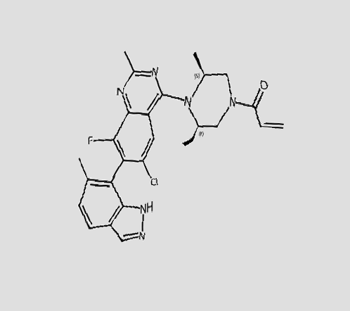 C=CC(=O)N1C[C@@H](C)N(c2nc(C)nc3c(F)c(-c4c(C)ccc5cn[nH]c45)c(Cl)cc23)[C@@H](C)C1